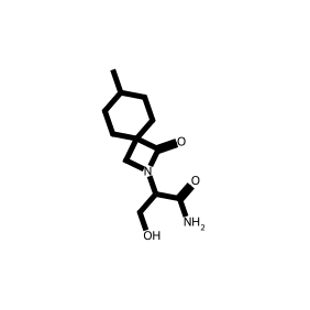 CC1CCC2(CC1)CN(C(CO)C(N)=O)C2=O